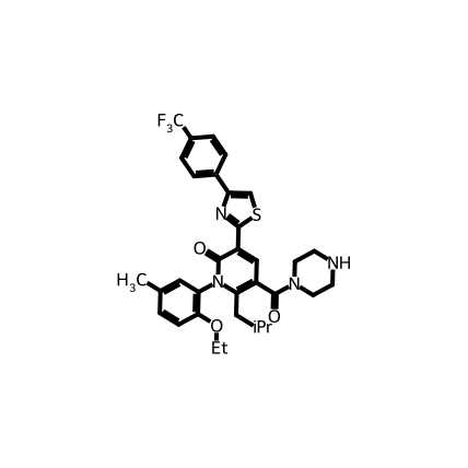 CCOc1ccc(C)cc1-n1c(CC(C)C)c(C(=O)N2CCNCC2)cc(-c2nc(-c3ccc(C(F)(F)F)cc3)cs2)c1=O